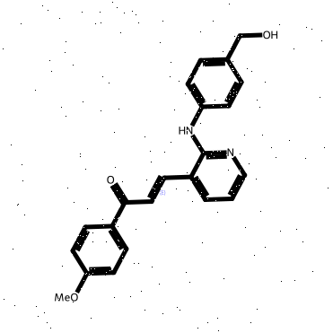 COc1ccc(C(=O)/C=C/c2cccnc2Nc2ccc(CO)cc2)cc1